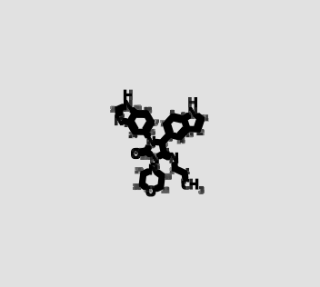 CCCN=C1C(c2ccc3[nH]ccc3c2)N(c2ccc3[nH]cnc3c2)C(=O)N1N1CCOCC1